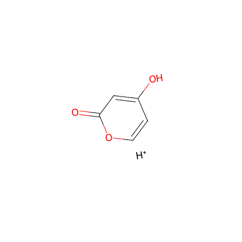 O=c1cc(O)cco1.[H+]